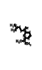 CC(=O)N(CCN(C)C)c1cccc(N(C)C)n1